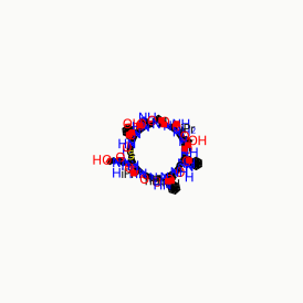 CCCC[C@H]1C(=O)N(C)[C@@H](CCCC)C(=O)N[C@@H](CC(C)C)C(=O)N[C@H](C(=O)NCC(=O)NCCO)CSCC(=O)N[C@@H](Cc2ccc(O)cc2)C(=O)N(C)[C@@H](C)C(=O)N[C@@H](CC(N)=O)C(=O)N2CCC[C@H]2C(=O)N[C@@H](CN)C(=O)N[C@@H](CC(C)C)C(=O)N2C[C@H](O)C[C@H]2C(=O)N[C@@H](Cc2c[nH]c3ccccc23)C(=O)NCC(=O)NC(Cc2c[nH]c3ccccc23)C(=O)N1C